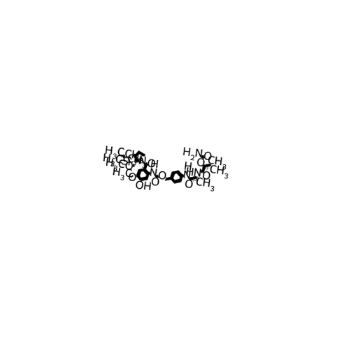 COc1cc(C(=O)N2CCC[C@H]2CO[Si](C)(C)C(C)(C)C)c(NC(=O)OCc2ccc(NC(=O)[C@H](C)NC(=O)[C@@H](OC(N)=O)C(C)C)cc2)cc1O